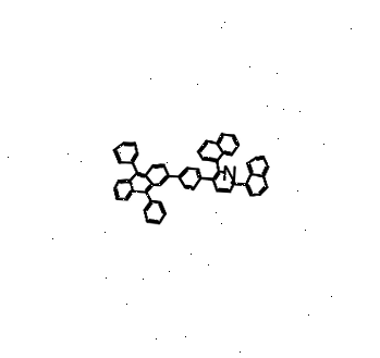 c1ccc(-c2c3ccccc3c(-c3ccccc3)c3cc(-c4ccc(-c5ccc(-c6cccc7ccccc67)nc5-c5cccc6ccccc56)cc4)ccc23)cc1